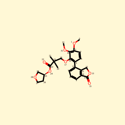 COc1ccc(-c2cccc3c2COC3=O)c(OCC(C)(C)C(=O)O[C@H]2CCOC2)c1OC